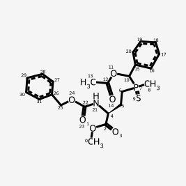 COC(=O)[C@H](CCP(C)(=S)C(OC(C)=O)c1ccccc1)NC(=O)OCc1ccccc1